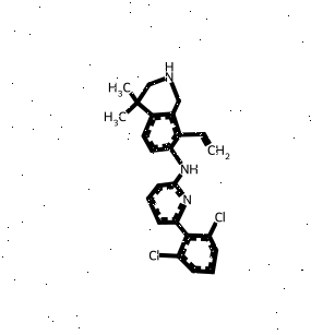 C=Cc1c(Nc2cccc(-c3c(Cl)cccc3Cl)n2)ccc2c1CNCC2(C)C